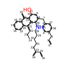 C=CCc1ccc(Cc2cc(O)c3c(=C)c4ccccc4/c(=C\CC)c3c2NCCCCCC(=C)C=C)cc1